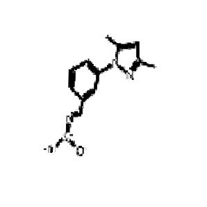 Cc1cc(C)n(-c2cccc(/C=N/[S+]([O-])C(C)(C)C)c2)n1